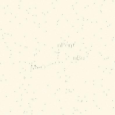 CCCCC.CCCCCOOC